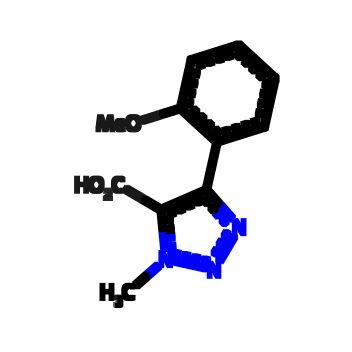 COc1ccccc1-c1nnn(C)c1C(=O)O